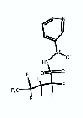 O=S(=O)(N[S+]([O-])c1cccnc1)C(F)(F)C(F)(F)C(F)(F)C(F)(F)F